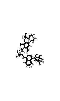 CC1(C)OB(c2ccc(CC(NC(=O)c3c(F)cc(N4CCOCC4C(F)(F)F)cc3F)C(=O)O)c3ccccc23)OC1(C)C